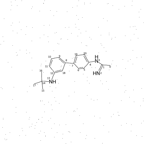 CC(=N)Nc1ccc(-c2cccc(NC(C)(C)C)c2)cc1